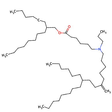 C=C(CCCCCN(CCC)CCCCCC(=O)OCC(CCCCCC)CCCCCCCC)CCC(CCCCCC)CCCCCCCC